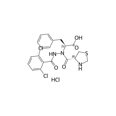 Cl.O=C(NN(C(=O)[C@@H]1CSCN1)[C@@H](Cc1ccccc1)C(=O)O)c1c(Cl)cccc1Cl